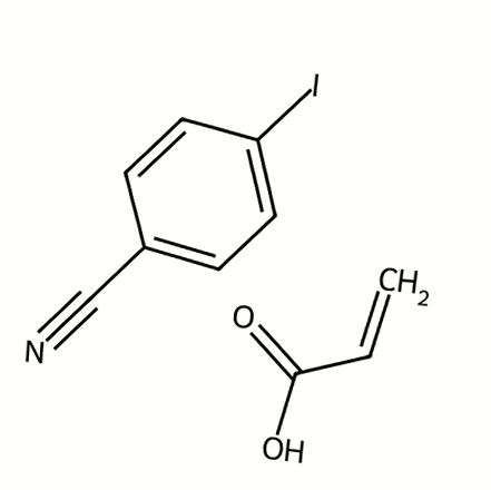 C=CC(=O)O.N#Cc1ccc(I)cc1